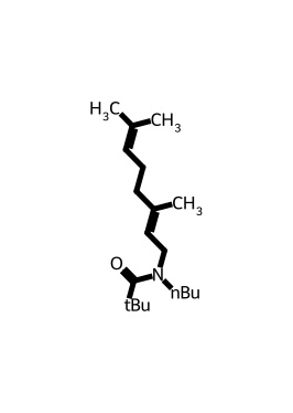 CCCCN(C/C=C(\C)CCC=C(C)C)C(=O)C(C)(C)C